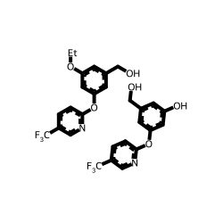 CCOc1cc(CO)cc(Oc2ccc(C(F)(F)F)cn2)c1.OCc1cc(O)cc(Oc2ccc(C(F)(F)F)cn2)c1